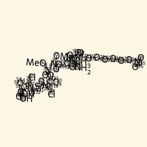 COCCN(CCN(CCOC)C(=O)Oc1cc2c(c3ccccc13)[C@H](CCl)CN2C(=O)c1ccc(C(=O)N2C[C@@H](CCl)c3c2cc(OP(=O)(O)O)c2ccccc32)s1)C(=O)OCc1ccc(N(C(=O)[C@@H](NC(=O)CCOCCOCCOCCOCCOCCOCCN2C(=O)C=CC2=O)C(C)C)[C@@H](C)C(N)=O)cc1